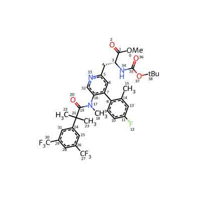 COC(=O)[C@@H](Cc1cc(-c2ccc(F)cc2C)c(N(C)C(=O)C(C)(C)c2cc(C(F)(F)F)cc(C(F)(F)F)c2)cn1)NC(=O)OC(C)(C)C